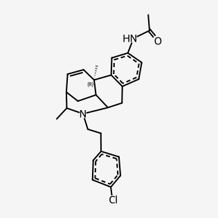 CC(=O)Nc1ccc2c(c1)[C@]1(C)C=CC3CC1C(C2)N(CCc1ccc(Cl)cc1)C3C